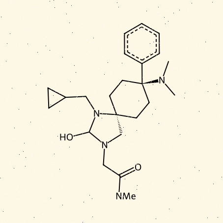 CNC(=O)CN1C[C@]2(CC[C@](c3ccccc3)(N(C)C)CC2)N(CC2CC2)C1O